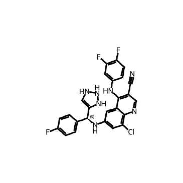 N#Cc1cnc2c(Cl)cc(N[C@H](C3=CNNN3)c3ccc(F)cc3)cc2c1Nc1ccc(F)c(F)c1